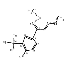 CON=CC(=NOC)c1ccc(F)c(C(F)(F)F)c1